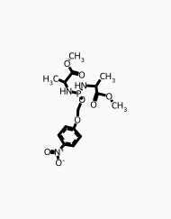 COC(=O)C(C)NP(NC(C)C(=O)OC)OCOc1ccc([N+](=O)[O-])cc1